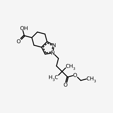 CCOC(=O)C(C)(C)CCn1cc2c(n1)CCC(C(=O)O)C2